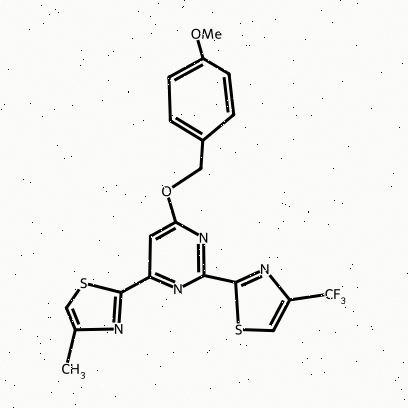 COc1ccc(COc2cc(-c3nc(C)cs3)nc(-c3nc(C(F)(F)F)cs3)n2)cc1